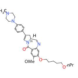 CCCOCCCCCOc1cc2c(cc1OC)C(=O)N1C=C(c3ccc(N4CCN(C)CC4)cc3)C[C@H]1C=N2